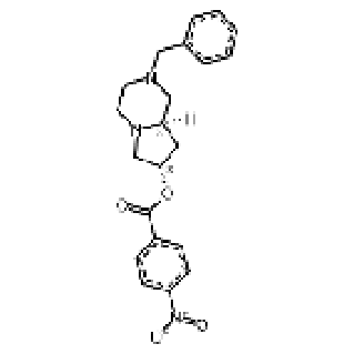 O=C(O[C@H]1C[C@@H]2CN(Cc3ccccc3)CCN2C1)c1ccc([N+](=O)[O-])cc1